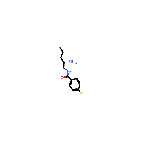 CCC[C@H](N)CNC(=O)c1ccc(F)cc1